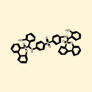 O=P1(C(Nc2ccc(S(=O)(=O)c3ccc(NC(c4ccccc4O)P4(=O)Oc5ccccc5-c5ccccc54)cc3)cc2)c2ccccc2O)Oc2ccccc2-c2ccccc21